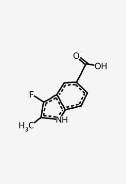 Cc1[nH]c2ccc(C(=O)O)cc2c1F